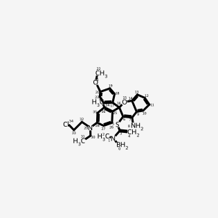 BN(C)C(=C)SC1=C(N)c2ccccc2OC1(c1ccc(OC)cc1)c1ccc(N(CC)CCCl)cc1C